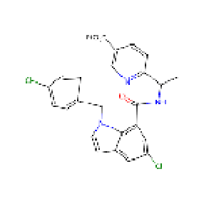 CCOC(=O)c1ccc(C(C)NC(=O)c2cc(Cl)cc3ccn(Cc4ccc(Cl)cc4)c23)nc1